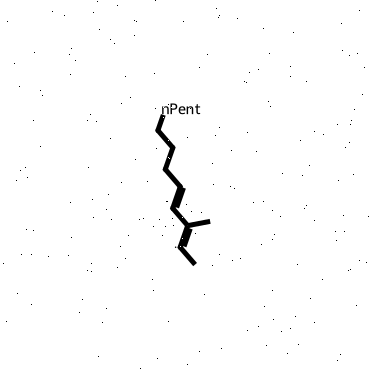 C/[C]=C(\C)C=CCCCCCCCC